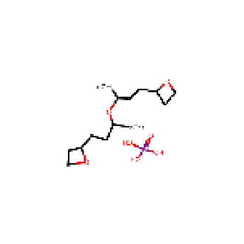 CCCCCCCCC(CCC1CCO1)OC(CCCCCCCC)CCC1CCO1.O=P(O)(O)O